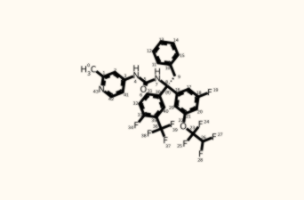 Cc1cc(NC(=O)N[C@@](Cc2ccccc2)(c2cc(F)cc(OC(F)(F)C(F)F)c2)c2ccc(F)c(C(F)(F)F)c2)ccn1